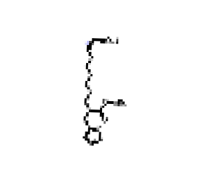 CCCCCCCC/C=C\CCCCCCC(Cc1ccco1)C(=O)OCCCC